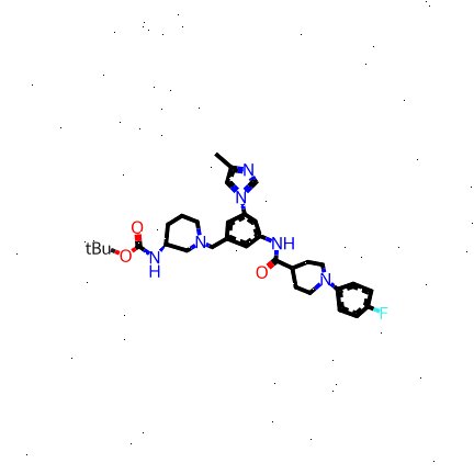 Cc1cn(-c2cc(CN3CCC[C@H](NC(=O)OC(C)(C)C)C3)cc(NC(=O)C3CCN(c4ccc(F)cc4)CC3)c2)cn1